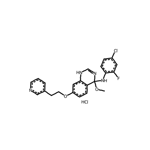 COC1(Nc2ccc(Cl)cc2F)N=CNc2cc(OCCc3cccnc3)ccc21.Cl